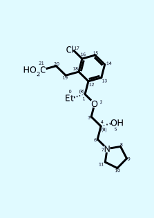 CC[C@@H](OC[C@H](O)CN1CCCC1)c1cccc(Cl)c1CCC(=O)O